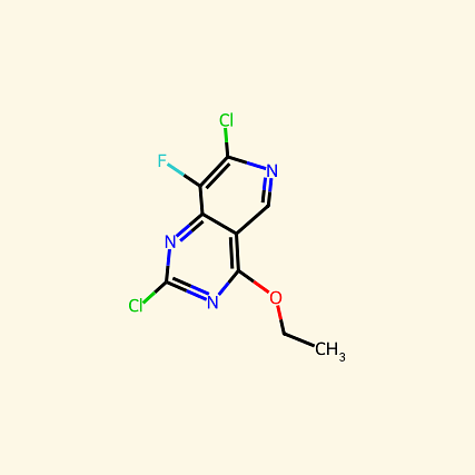 CCOc1nc(Cl)nc2c(F)c(Cl)ncc12